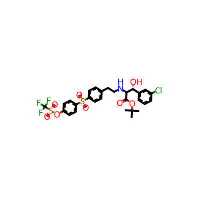 CC(C)(C)OC(=O)C(NCCc1ccc(S(=O)(=O)c2ccc(OS(=O)(=O)C(F)(F)F)cc2)cc1)[C@H](O)c1cccc(Cl)c1